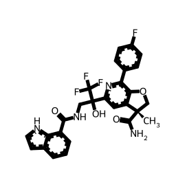 C[C@]1(C(N)=O)COc2c1cc(C(O)(CNC(=O)c1cccc3cc[nH]c13)C(F)(F)F)nc2-c1ccc(F)cc1